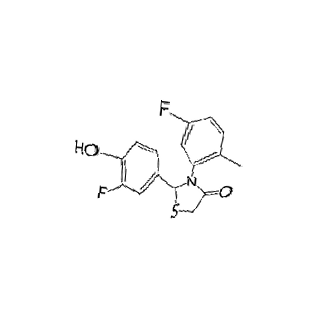 Cc1ccc(F)cc1N1C(=O)CSC1c1ccc(O)c(F)c1